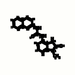 Cn1c(=O)[nH]c2c(NC(=O)Nc3ccc4ccccc4c3)ncnc21